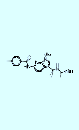 CCCCC(C)NC(=O)c1cn(C(C)(C)C)c2nc(NC(=O)c3ccc(C)cc3)ccc12